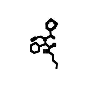 C#CCN(C(=C)c1ccccc1)C(C(=O)NCCCC)C1CCCCC1